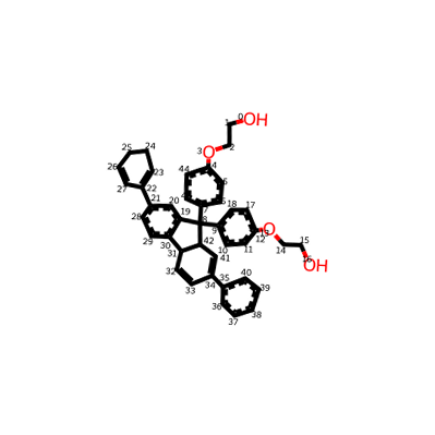 OCCOc1ccc(C2(c3ccc(OCCO)cc3)c3cc(C4=CCCC=C4)ccc3C3C=CC(c4ccccc4)=CC32)cc1